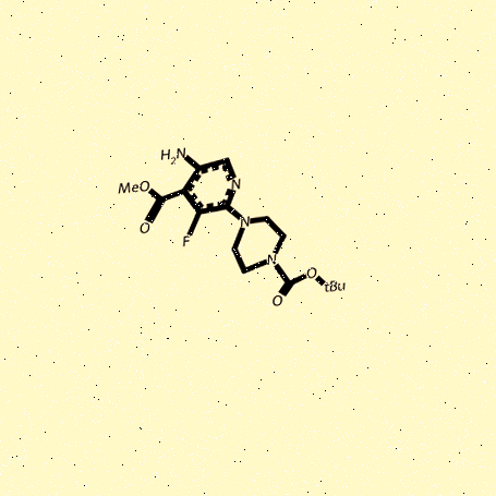 COC(=O)c1c(N)cnc(N2CCN(C(=O)OC(C)(C)C)CC2)c1F